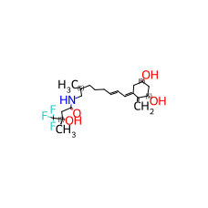 C=C1C(=CC=CCCC[C@H](C)CNC(=O)C[C@](C)(O)C(F)(F)F)C[C@@H](O)C[C@@H]1O